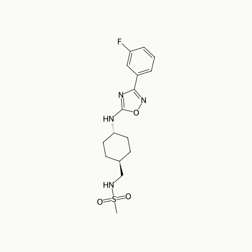 CS(=O)(=O)NC[C@H]1CC[C@H](Nc2nc(-c3cccc(F)c3)no2)CC1